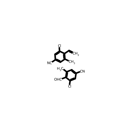 C=Cc1c(C)cc(C#N)cc1Cl.Cc1cc(C#N)cc(Cl)c1C=O